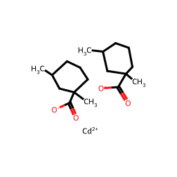 CC1CCCC(C)(C(=O)[O-])C1.CC1CCCC(C)(C(=O)[O-])C1.[Cd+2]